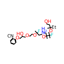 CCC(C)(CCO)OCC(C)(F)C(C)(CN)OCCC(C)(F)OCCOCC(O)COc1ccccc1C#N